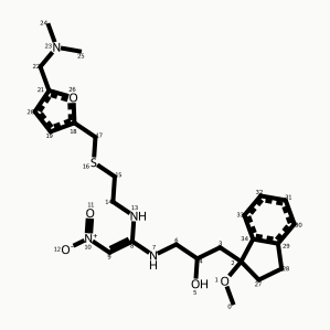 COC1(CC(O)CNC(=C[N+](=O)[O-])NCCSCc2ccc(CN(C)C)o2)CCc2ccccc21